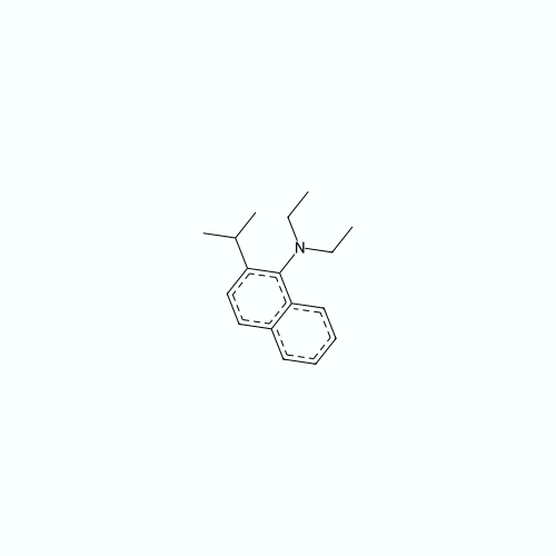 CCN(CC)c1c(C(C)C)ccc2ccccc12